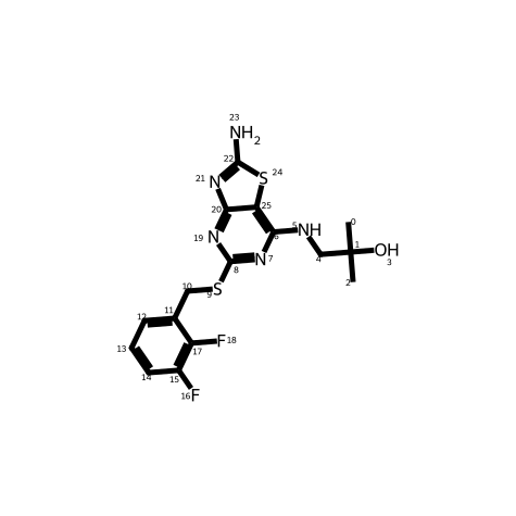 CC(C)(O)CNc1nc(SCc2cccc(F)c2F)nc2nc(N)sc12